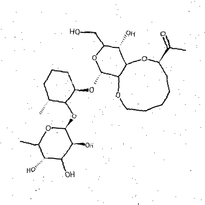 CC(=O)[C@H]1CCCCCOC2C(O1)[C@@H](O)C(CO)O[C@H]2O[C@@H]1CCC[C@@H](C)C1O[C@@H]1OC(C)[C@@H](O)C(O)[C@@H]1O